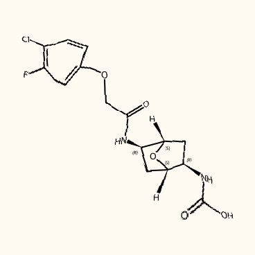 O=C(O)N[C@@H]1C[C@@H]2O[C@H]1C[C@H]2NC(=O)COc1ccc(Cl)c(F)c1